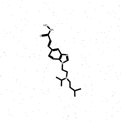 CC(C)CCN(CCn1cnc2cc(C=CC(=O)NO)ccc21)C(C)C